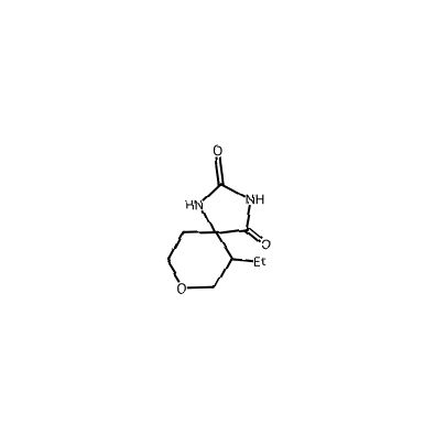 CCC1COCCC12NC(=O)NC2=O